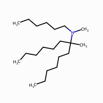 CCCCCCN(C)C(C)(CCCCCC)CCCCCC